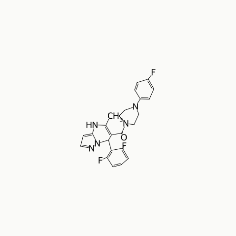 CC1=C(C(=O)N2CCN(c3ccc(F)cc3)CC2)C(c2c(F)cccc2F)n2nccc2N1